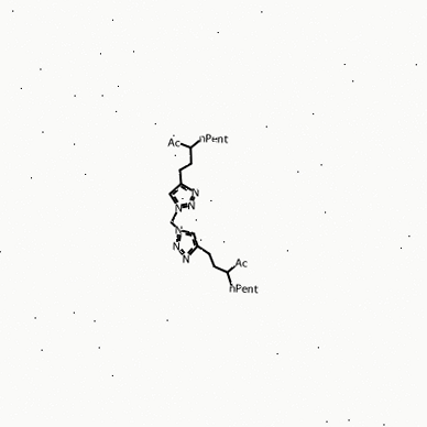 CCCCCC(CCc1cn(Cn2cc(CCC(CCCCC)C(C)=O)nn2)nn1)C(C)=O